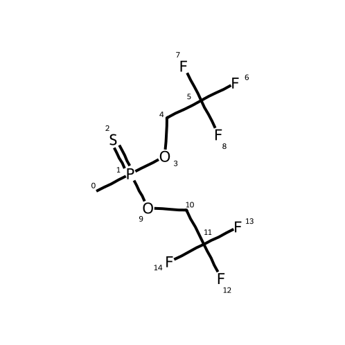 CP(=S)(OCC(F)(F)F)OCC(F)(F)F